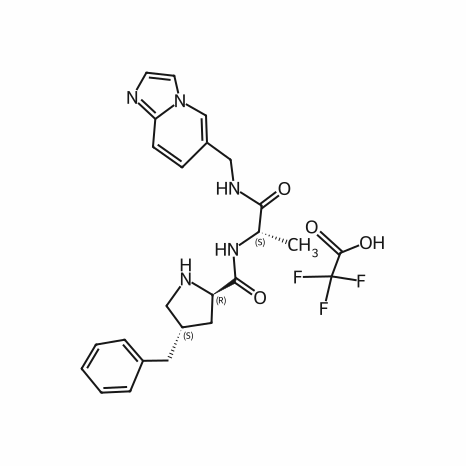 C[C@H](NC(=O)[C@H]1C[C@H](Cc2ccccc2)CN1)C(=O)NCc1ccc2nccn2c1.O=C(O)C(F)(F)F